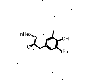 CCCCCCOC(=O)Cc1cc(C)c(O)c(C(C)(C)C)c1